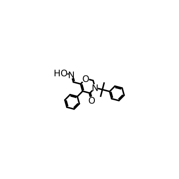 CC(C)(c1ccccc1)N1COC(C=NO)=C(c2ccccc2)C1=O